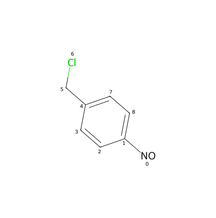 O=Nc1ccc(CCl)cc1